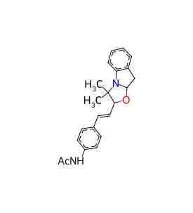 CC(=O)Nc1ccc(C=CC2OC3Cc4ccccc4N3C2(C)C)cc1